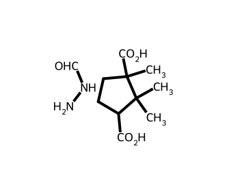 CC1(C(=O)O)CCC(C(=O)O)C1(C)C.NNC=O